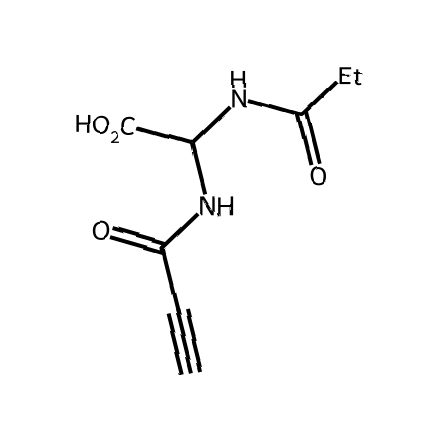 C#CC(=O)NC(NC(=O)CC)C(=O)O